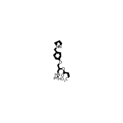 CC(C)NCC(COc1ccc(Cn2cccn2)cc1)OC(=O)/C=C\C(=O)O